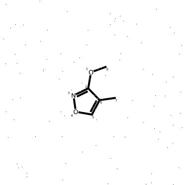 COc1nocc1C